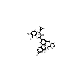 N=C1OCCN1Cc1cc(C(=O)NC(c2ccc(Cl)c(Cl)c2)C2CC2)cc(-c2ncc(F)cc2C(F)(F)F)c1